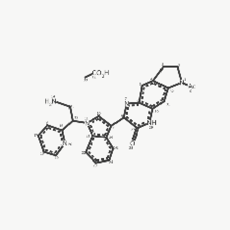 CC(=O)N1CCc2cc3nc(-c4cn(C(CN)c5ccccn5)c5ccccc45)c(=O)[nH]c3cc21.CC(=O)O